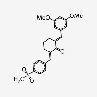 COc1cc(/C=C2\CCC/C(=C\c3ccc(S(C)(=O)=O)cc3)C2=O)cc(OC)c1